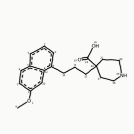 COc1ccc2cccc(CCCC3(C(=O)O)CCNCC3)c2c1